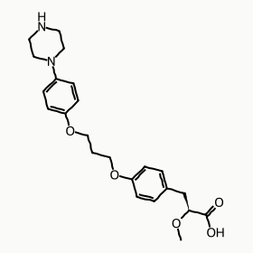 CO[C@@H](Cc1ccc(OCCCOc2ccc(N3CCNCC3)cc2)cc1)C(=O)O